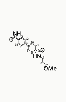 COCCCNC(=O)C1CCC(c2ccc(C(N)=O)cc2)CC1